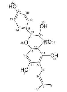 CC(C)=CCc1c(O)cc2c(c1O)C(=O)C(O)C(c1ccc(O)cc1)O2